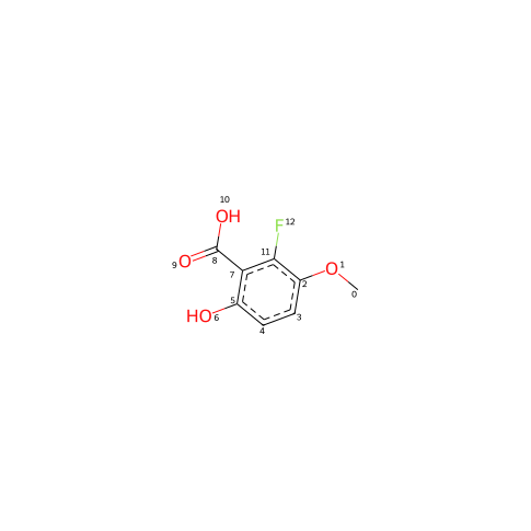 COc1ccc(O)c(C(=O)O)c1F